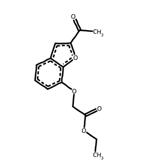 CCOC(=O)COc1cccc2cc(C(C)=O)oc12